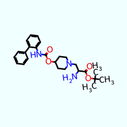 CC(C)(C)OC(=O)C(N)CN1CCC(OC(=O)Nc2ccccc2-c2ccccc2)CC1